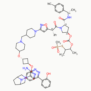 CC(OC(=O)O[C@@H]1C[C@@H](C(=O)N[C@@H](C)c2ccc(C#N)cc2)N(C(=O)[C@@H](c2cc(N3CCC(CN4CCC(O[C@H]5C[C@H](Oc6cc(N7C8CCC7CN(c7cc(-c9ccccc9O)nnc7N)C8)ccn6)C5)CC4)CC3)no2)C(C)C)C1)C(C)SS(C)(=O)=O